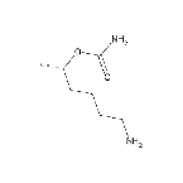 C[C@@H](CCCCN)OC(N)=O